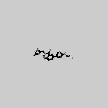 Cc1nc(Cn2nnc3ccc(-c4ccc(OCC(F)(F)F)nc4)cc3c2=O)no1